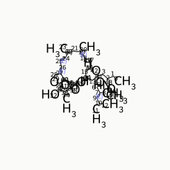 CCC(C[C@@]1(OC/C(C)=C/C(C)C)C[C@@H]2C[C@@H](C/C=C(\C)C[C@@H](C)/C=C/C=C3\COC4[C@H](O)C(C)=CC(C(=O)O2)[C@]34O)O1)NOC